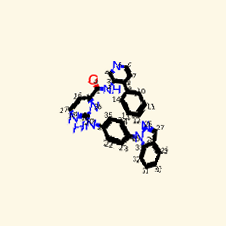 O=C(Nc1cnccc1-c1ccccc1)c1ccnc(Nc2ccc(-n3ncc4ccccc43)cc2)n1